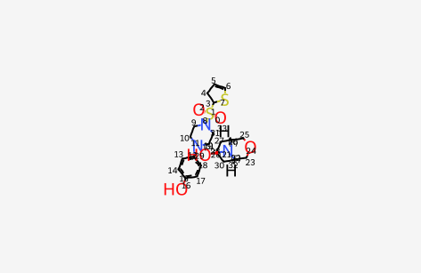 O=S(=O)(C1CC=CS1)N1CCN(c2ccc(O)cc2)[C@@H](CN2[C@@H]3COC[C@H]2CC(O)C3)C1